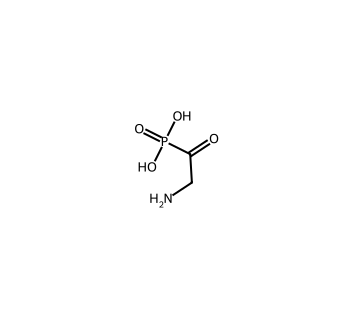 NCC(=O)P(=O)(O)O